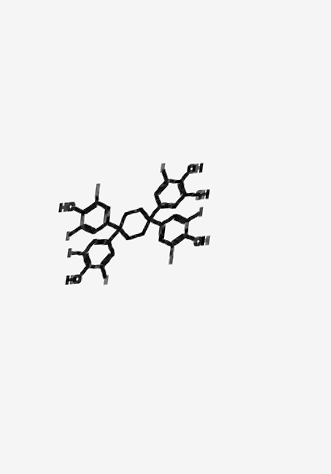 Oc1c(S)cc(C2(c3cc(I)c(O)c(I)c3)CCC(c3cc(I)c(O)c(I)c3)(c3cc(I)c(O)c(I)c3)CC2)cc1I